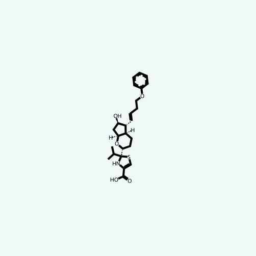 CC(C)C1([C@H]2CC[C@@H]3[C@@H](/C=C/CCOc4ccccc4)[C@H](O)C[C@@H]3O2)NC(C(=O)O)=CS1